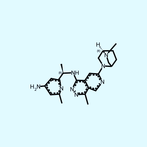 Cc1cc(N)cc([C@@H](C)Nc2nnc(C)c3cnc(N4C[C@H]5CCC4CN5C)cc23)n1